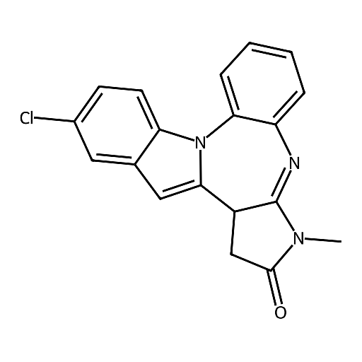 CN1C(=O)CC2C1=Nc1ccccc1-n1c2cc2cc(Cl)ccc21